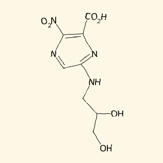 O=C(O)c1nc(NCC(O)CO)cnc1[N+](=O)[O-]